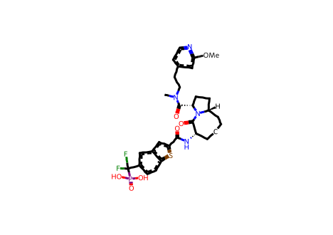 COc1cc(CCN(C)C(=O)[C@@H]2CC[C@@H]3CCCC[C@H](NC(=O)c4cc5cc(C(F)(F)P(=O)(O)O)ccc5s4)C(=O)N32)ccn1